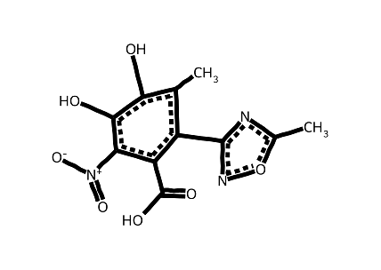 Cc1nc(-c2c(C)c(O)c(O)c([N+](=O)[O-])c2C(=O)O)no1